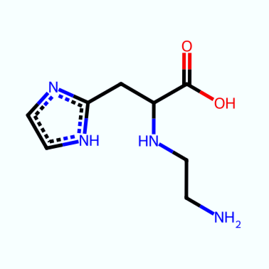 NCCNC(Cc1ncc[nH]1)C(=O)O